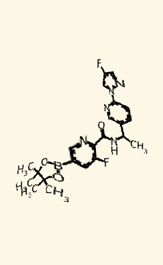 CC(NC(=O)c1ncc(B2OC(C)(C)C(C)(C)O2)cc1F)c1ccc(-n2cc(F)cn2)nc1